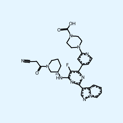 N#CCC(=O)N1CCC[C@@H](Nc2nc(-c3cnn4ccccc34)nc(-c3ccnc(N4CCN(C(=O)O)CC4)c3)c2F)C1